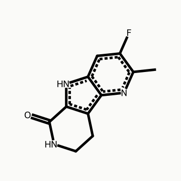 Cc1nc2c3c([nH]c2cc1F)C(=O)NCC3